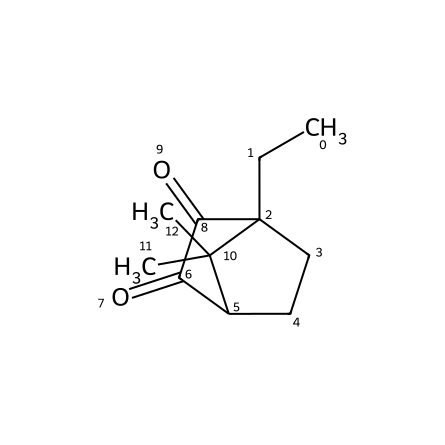 CCC12CCC(C(=O)C1=O)C2(C)C